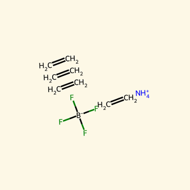 C=C.C=C.C=C.C=C.F[B-](F)(F)F.[NH4+]